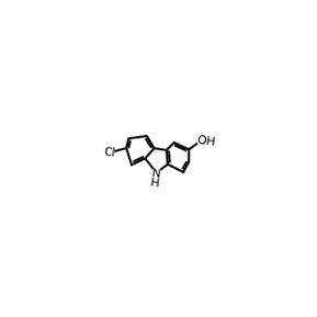 Oc1ccc2[nH]c3cc(Cl)ccc3c2c1